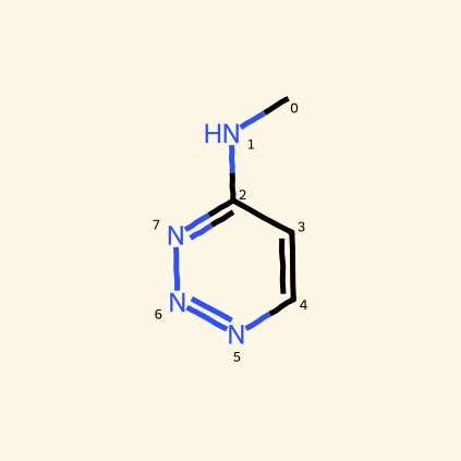 CNc1ccnnn1